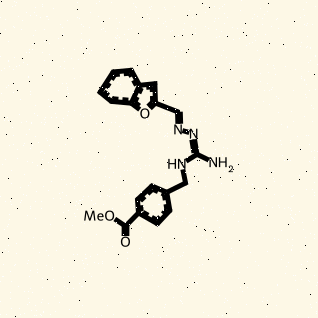 COC(=O)c1ccc(CNC(N)=NN=Cc2cc3ccccc3o2)cc1